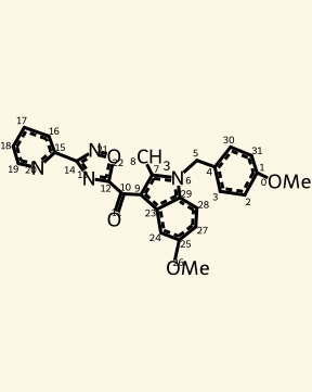 COc1ccc(Cn2c(C)c(C(=O)c3nc(-c4ccccn4)no3)c3cc(OC)ccc32)cc1